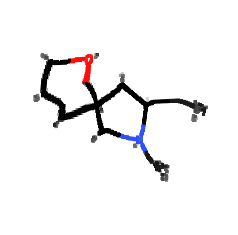 CC(C)C1CC2(CCCO2)CN1C(C)C